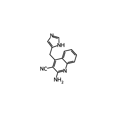 N#Cc1c(N)nc2ccccc2c1Cc1cnc[nH]1